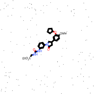 CCOC(=O)CNC(=O)Nc1cccc(N2CC(c3ccc(OC)c(OC4CCCC4)c3)CC2=O)c1